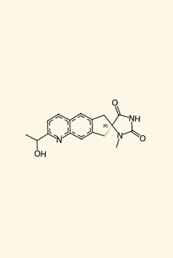 CC(O)c1ccc2cc3c(cc2n1)C[C@]1(C3)C(=O)NC(=O)N1C